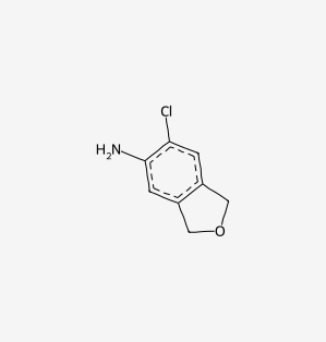 Nc1cc2c(cc1Cl)COC2